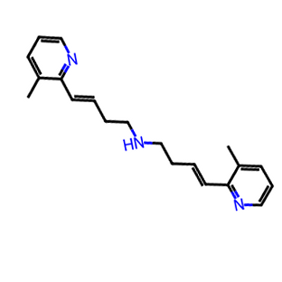 Cc1cccnc1C=CCCNCCC=Cc1ncccc1C